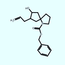 C=CCC1CC2(CCCN2C(=O)OCc2ccccc2)CC1O